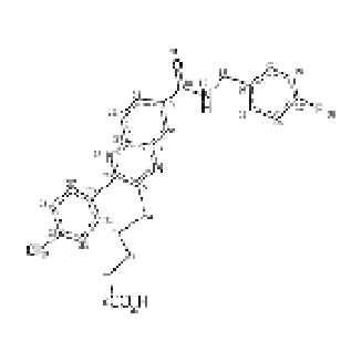 O=C(O)CCCCc1nc2cc(C(=O)NCc3ccc(F)cc3)ccc2nc1-c1ccc(Cl)cc1